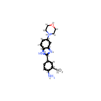 Nc1ccc(-c2nc3cc(N4CCOCC4)ccc3[nH]2)cc1[N+](=O)[O-]